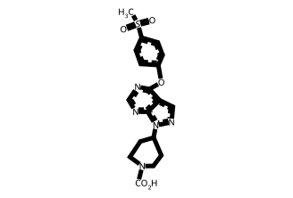 CS(=O)(=O)c1ccc(Oc2ncnc3c2cnn3C2CCN(C(=O)O)CC2)cc1